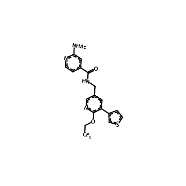 CC(=O)Nc1cc(C(=O)NCc2cnc(OCC(F)(F)F)c(-c3ccsc3)c2)ccn1